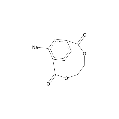 O=C1OCCOC(=O)c2ccc1c[c]2[Na]